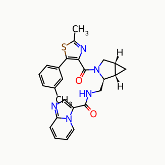 Cc1cccc(-c2sc(C)nc2C(=O)N2C[C@@H]3C[C@@H]3[C@H]2CNC(=O)c2cnc3ccccn23)c1